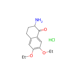 CCOc1cc2c(cc1OCC)C(=O)C(N)CC2.Cl